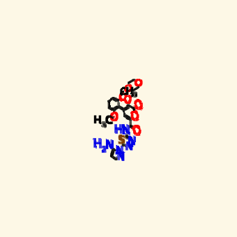 COc1cccc(OC)c1-c1cc(C(=O)Nc2nnc(-n3nccc3N)s2)oc(=O)c1OC[C@@H]1COCCO1